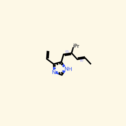 C=Cc1nc[nH]c1/C=C(\C=C\C)C(C)C